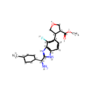 COC(=O)C1COCC1c1ccc2[nH]c([C@@H](N)C3CCC(C)CC3)nc2c1F